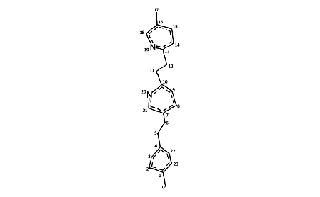 Cc1ccc(CCc2ccc(CCc3ccc(C)cn3)nc2)cc1